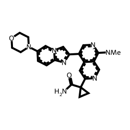 CNc1ncc(-c2cn3cc(N4CCOCC4)ccc3n2)c2cc(C3(C(N)=O)CC3)ncc12